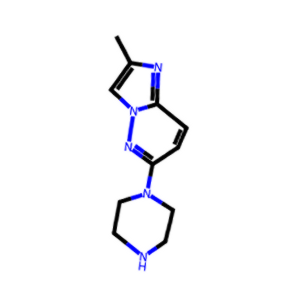 Cc1cn2nc(N3CCNCC3)ccc2n1